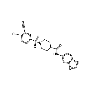 N#Cc1cc(S(=O)(=O)N2CCC(C(=O)Nc3ccc4scnc4c3)CC2)ccc1Cl